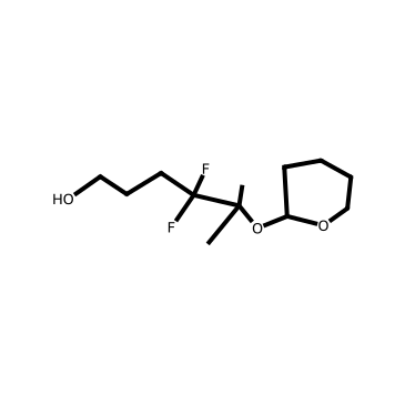 CC(C)(OC1CCCCO1)C(F)(F)CCCO